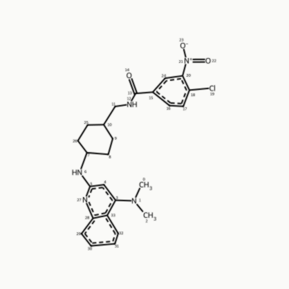 CN(C)c1cc(NC2CCC(CNC(=O)c3ccc(Cl)c([N+](=O)[O-])c3)CC2)nc2ccccc12